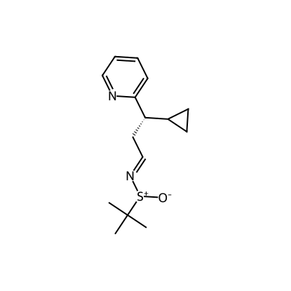 CC(C)(C)[S+]([O-])N=CC[C@H](c1ccccn1)C1CC1